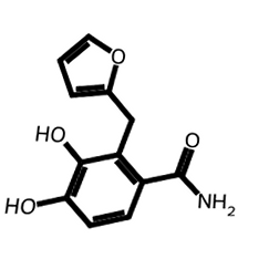 NC(=O)c1ccc(O)c(O)c1Cc1ccco1